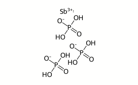 O=P([O-])(O)O.O=P([O-])(O)O.O=P([O-])(O)O.[Sb+3]